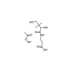 CC(=O)[O-].CC(C)(CO)C(O)C(=O)NCCC(=O)O.[Na+]